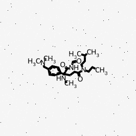 CCCN(CCC(C)C)C(=O)CCC(NC)(C(=O)NC=O)c1ccc(CN(C)C)cc1